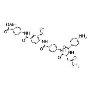 COC(=O)c1ccc(NC(=O)c2ccc(NC(=O)c3ccc(NC(=O)C(CC(N)=O)NC(=O)c4ccc(N)cc4)cc3)c(OC(C)C)c2)cc1